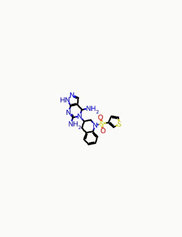 NC1=Nc2[nH]ncc2C(N)N1C1Cc2ccccc2N(S(=O)(=O)c2ccsc2)C1